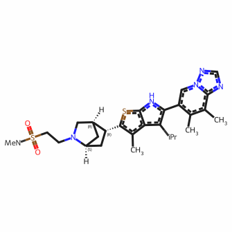 CNS(=O)(=O)CCN1C[C@@H]2C[C@H]1C[C@H]2c1sc2[nH]c(-c3cn4ncnc4c(C)c3C)c(C(C)C)c2c1C